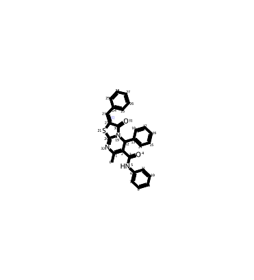 CC1=C(C(=O)Nc2ccccc2)C(c2ccccc2)n2c(s/c(=C/c3ccccc3)c2=O)=N1